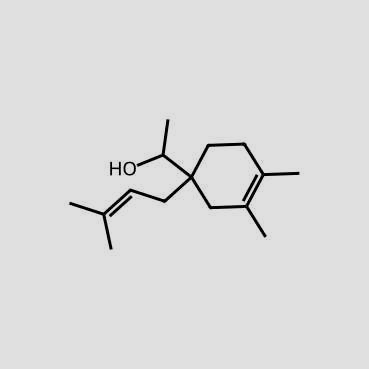 CC(C)=CCC1(C(C)O)CCC(C)=C(C)C1